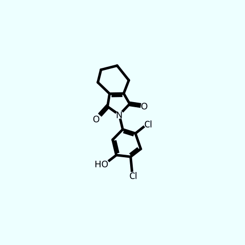 O=C1C2=C(CCCC2)C(=O)N1c1cc(O)c(Cl)cc1Cl